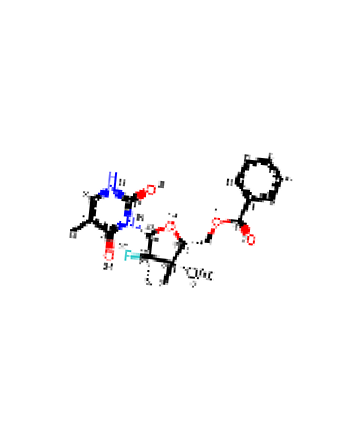 CC(=O)O[C@@]1(C)[C@@H](COC(=O)c2ccccc2)O[C@@H](n2c(=O)[nH]cc(C)c2=O)[C@]1(C)F